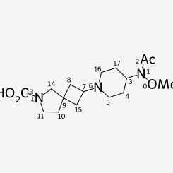 CON(C(C)=O)C1CCN(C2CC3(CCN(C(=O)O)C3)C2)CC1